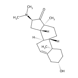 CN(C)[C@@H]1C[C@H]2[C@@H]3CC=C4C[C@@H](O)CC[C@]4(C)[C@H]3CC[C@]2(C)C1=O